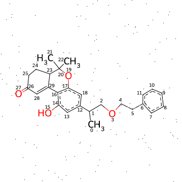 CC(COCCc1ccccc1)c1cc(O)c2c(c1)OC(C)(C)C1CCC(=O)C=C21